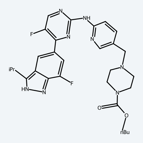 CCCCOC(=O)N1CCN(Cc2ccc(Nc3ncc(F)c(-c4cc(F)c5n[nH]c(C(C)C)c5c4)n3)nc2)CC1